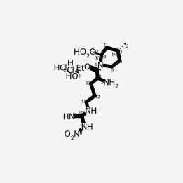 CCO.C[C@@H]1CCN(C(=O)C(N)CCCNC(=N)N[N+](=O)[O-])[C@@H](C(=O)O)C1.Cl.Cl